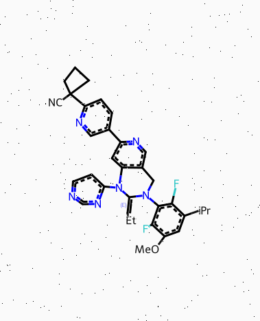 CC/C=C1\N(c2c(F)c(OC)cc(C(C)C)c2F)Cc2cnc(-c3ccc(C4(C#N)CCC4)nc3)cc2N1c1ccncn1